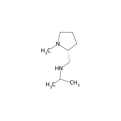 CC(C)NC[C@H]1CCCN1C